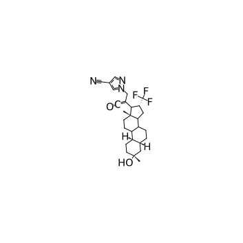 C[C@@]1(O)CC[C@@H]2C3CC[C@@]4(C)C(C[C@@H](C(F)(F)F)C4C(=C=O)Cn4cc(C#N)cn4)C3CC[C@@H]2C1